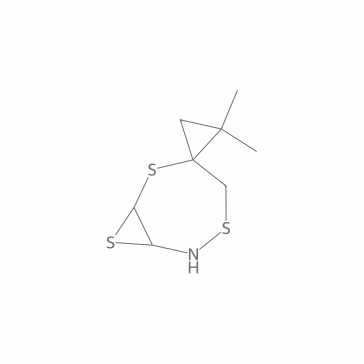 CC1(C)CC12CSNC1SC1S2